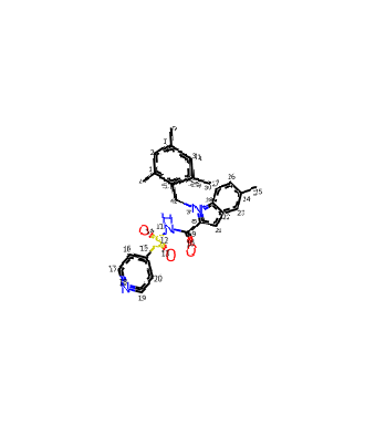 Cc1cc(C)c(Cn2c(C(=O)NS(=O)(=O)c3ccncc3)cc3cc(C)ccc32)c(C)c1